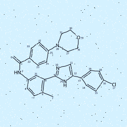 C=C(Nc1ccc(C)c(-c2ncc(-c3ccc(Cl)cc3)[nH]2)c1)c1ccc(N2CCOCC2)cc1